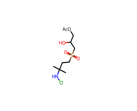 CC(=O)OCC(O)CS(=O)(=O)CCC(C)(C)NCl